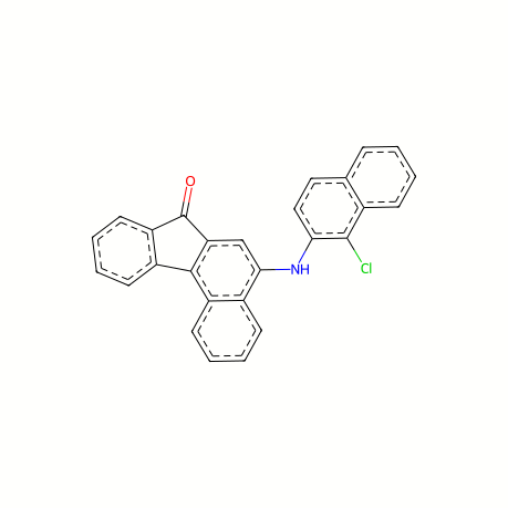 O=C1c2ccccc2-c2c1cc(Nc1ccc3ccccc3c1Cl)c1ccccc21